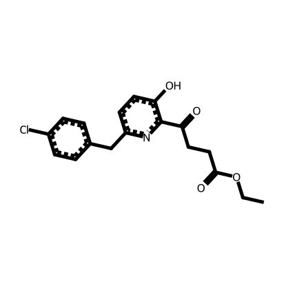 CCOC(=O)CCC(=O)c1nc(Cc2ccc(Cl)cc2)ccc1O